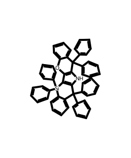 c1ccc(C2(c3ccccc3)c3ccccc3Oc3c2[nH]c2c3[Si](c3ccccc3)(c3ccccc3)c3ccccc3C2(c2ccccc2)c2ccccc2)cc1